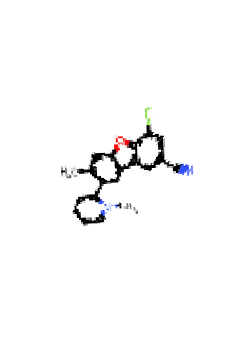 Cc1cc2oc3c(F)cc(C#N)cc3c2cc1-c1cccc[n+]1C